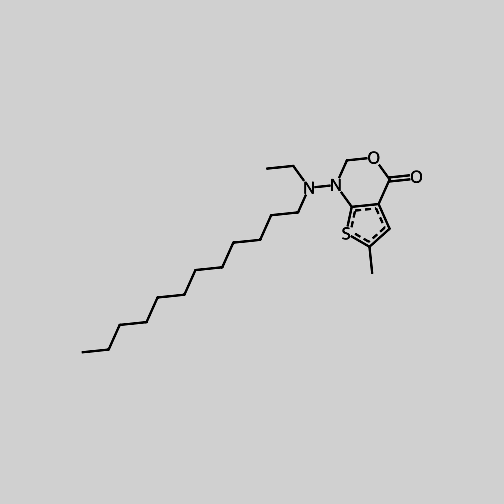 CCCCCCCCCCCCN(CC)N1COC(=O)c2cc(C)sc21